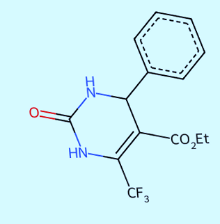 CCOC(=O)C1=C(C(F)(F)F)NC(=O)NC1c1ccccc1